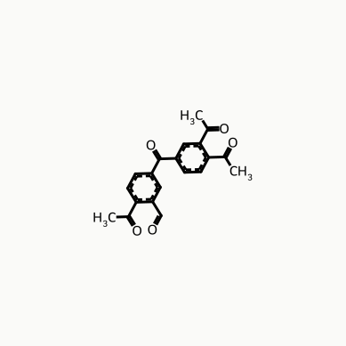 CC(=O)c1ccc(C(=O)c2ccc(C(C)=O)c(C(C)=O)c2)cc1C=O